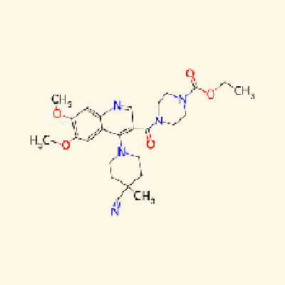 CCOC(=O)N1CCN(C(=O)c2cnc3cc(OC)c(OC)cc3c2N2CCC(C)(C#N)CC2)CC1